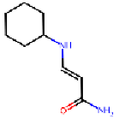 NC(=O)C=CNC1CCCCC1